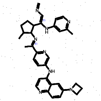 C=N/C=C(/Nc1ccnc(C)c1)C1CCC(C)C1/N=C(\C)c1ccc(Nc2ccnc3ccc(N4CCC4)cc23)cn1